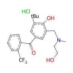 CN(CCO)Cc1cc(C(=O)c2ccccc2C(F)(F)F)cc(C(C)(C)C)c1O.Cl